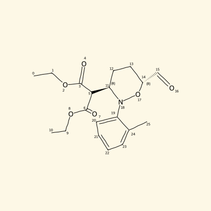 CCOC(=O)C(C(=O)OCC)[C@H]1CC[C@H](C=O)ON1c1ccccc1C